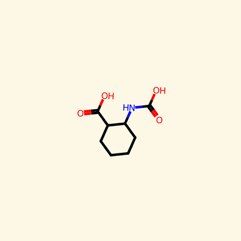 O=C(O)NC1CCCCC1C(=O)O